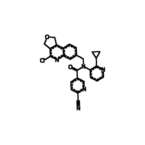 N#Cc1ccc(C(=O)N(Cc2ccc3c4c(c(Cl)nc3c2)COC4)c2cccnc2C2CC2)cn1